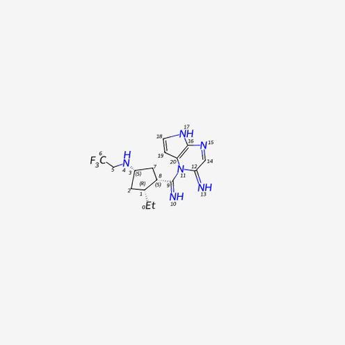 CC[C@@H]1C[C@H](NCC(F)(F)F)C[C@@H]1C(=N)n1c(=N)cnc2[nH]ccc21